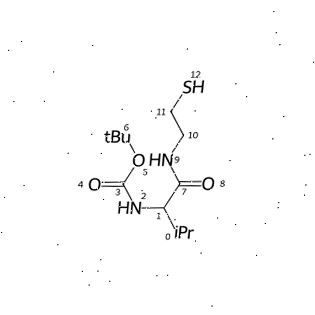 CC(C)C(NC(=O)OC(C)(C)C)C(=O)NCCS